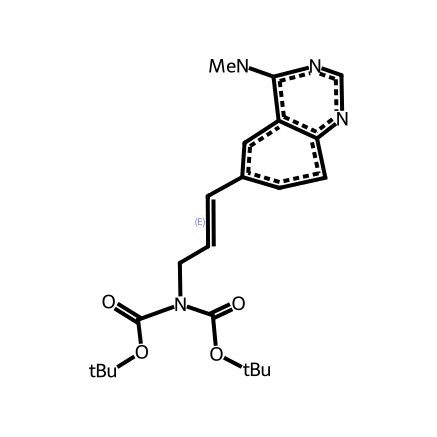 CNc1ncnc2ccc(/C=C/CN(C(=O)OC(C)(C)C)C(=O)OC(C)(C)C)cc12